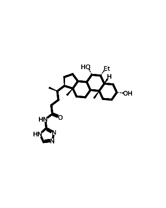 CC[C@H]1[C@@H](O)C2C3CC[C@H]([C@H](C)CCC(=O)Nc4nnc[nH]4)[C@@]3(C)CCC2[C@@]2(C)CC[C@@H](O)C[C@@H]12